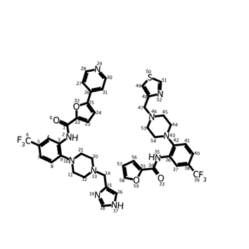 O=C(Nc1cc(C(F)(F)F)ccc1N1CCN(Cc2c[nH]cn2)CC1)c1ccc(-c2ccncc2)o1.O=C(Nc1cc(C(F)(F)F)ccc1N1CCN(Cc2cscn2)CC1)c1ccco1